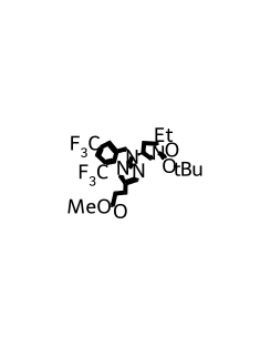 CC[C@@H]1C[C@H](N(Cc2cc(C(F)(F)F)cc(C(F)(F)F)c2)c2ncc(CCC(=O)OC)cn2)CN1C(=O)OC(C)(C)C